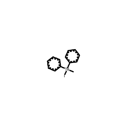 C[Te](I)(c1ccccc1)c1ccccc1